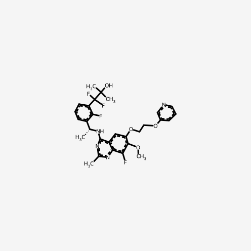 COc1c(OCCOc2cccnc2)cc2c(N[C@H](C)c3cccc(C(F)(F)C(C)(C)O)c3F)nc(C)nc2c1F